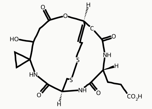 O=C(O)CC[C@H]1NC(=O)C[C@H]2/C=C/CCSSC[C@@H](NC1=O)C(=O)NC1(CC1)C(O)CC(=O)O2